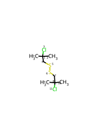 CC(C)(Cl)CSSCC(C)(C)Cl